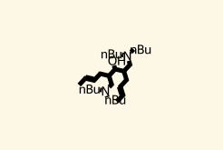 CC=CCC(CN(CCCC)CCCC)C(O)C(CC=CC)CN(CCCC)CCCC